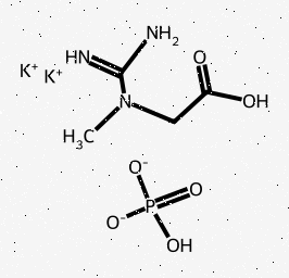 CN(CC(=O)O)C(=N)N.O=P([O-])([O-])O.[K+].[K+]